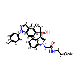 COCCNC(=O)Cn1cc(C(O)(CC(F)(F)F)c2ccc3c(cnn3-c3ccc(C)cc3)c2)c2ccccc21